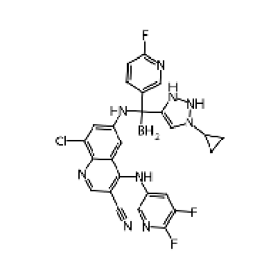 BC(Nc1cc(Cl)c2ncc(C#N)c(Nc3cnc(F)c(F)c3)c2c1)(C1=CN(C2CC2)NN1)c1ccc(F)nc1